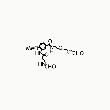 COc1ccc(C(=O)NCCOCCOCC=O)cc1NC(=O)CCNC=O